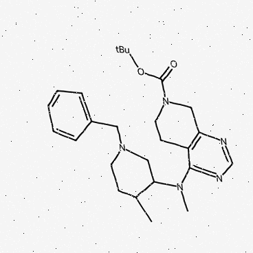 CC1CCN(Cc2ccccc2)CC1N(C)c1ncnc2c1CCN(C(=O)OC(C)(C)C)C2